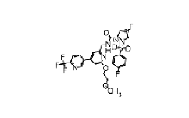 COCCOc1cc(-c2ccc(C(F)(F)F)nc2)cc(CNC(=O)[C@@H]2C[C@@H](F)CN2S(=O)(=O)c2ccc(F)cc2)n1